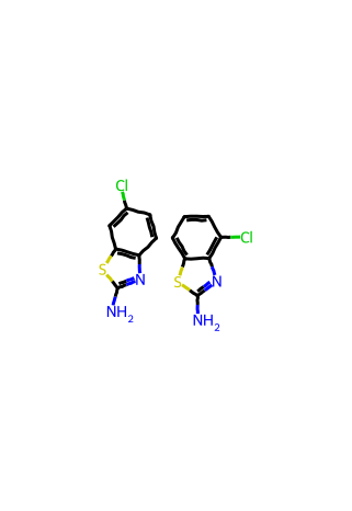 Nc1nc2c(Cl)cccc2s1.Nc1nc2ccc(Cl)cc2s1